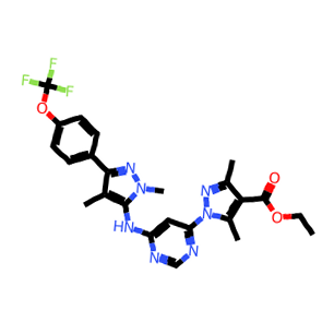 CCOC(=O)c1c(C)nn(-c2cc(Nc3c(C)c(-c4ccc(OC(F)(F)F)cc4)nn3C)ncn2)c1C